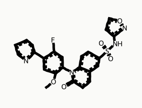 COc1cc(-c2ccccn2)c(F)cc1-n1c(=O)ccc2cc(S(=O)(=O)Nc3ccon3)ccc21